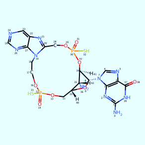 Nc1nc2c(ncn2[C@@H]2O[C@@H]3COP(=O)(S)OCCn4c(nc5cncnc54)COP(=O)(S)O[C@@H]2[C@@H]3N)c(=O)[nH]1